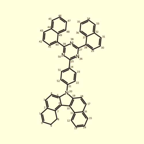 C1=Cc2ccc3c(c2CC1)c1c2ccccc2ccc1n3-c1ccc(-c2nc(-c3cccc4ccccc34)nc(-c3cccc4ccccc34)n2)cc1